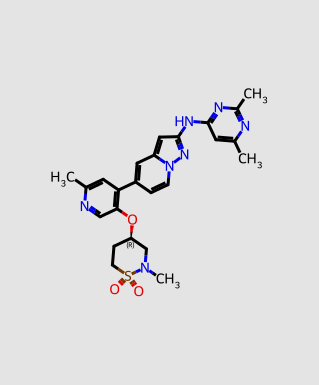 Cc1cc(-c2ccn3nc(Nc4cc(C)nc(C)n4)cc3c2)c(O[C@@H]2CCS(=O)(=O)N(C)C2)cn1